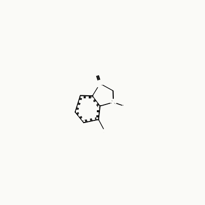 CCN1CS(=S)c2cccc(Cl)c21